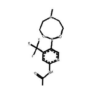 CC(=O)Nc1cc(C(F)(F)F)c(B2OCCN(C)CCO2)cn1